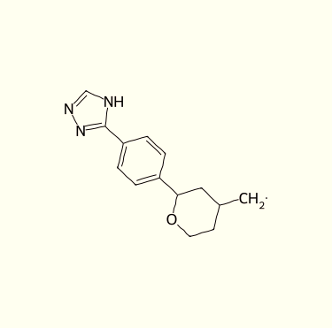 [CH2]C1CCOC(c2ccc(-c3nnc[nH]3)cc2)C1